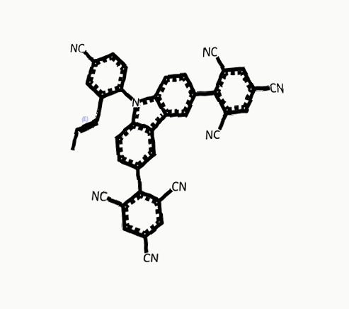 C/C=C/c1cc(C#N)ccc1-n1c2ccc(-c3c(C#N)cc(C#N)cc3C#N)cc2c2cc(-c3c(C#N)cc(C#N)cc3C#N)ccc21